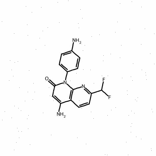 Nc1ccc(-n2c(=O)cc(N)c3ccc(C(F)F)nc32)cc1